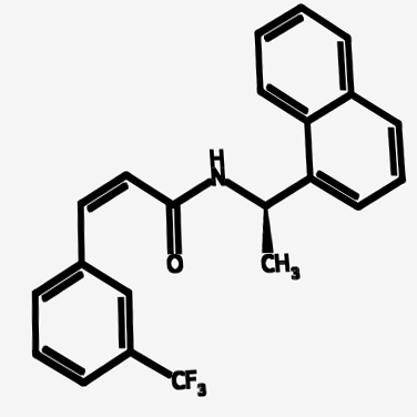 C[C@@H](NC(=O)/C=C\c1cccc(C(F)(F)F)c1)c1cccc2ccccc12